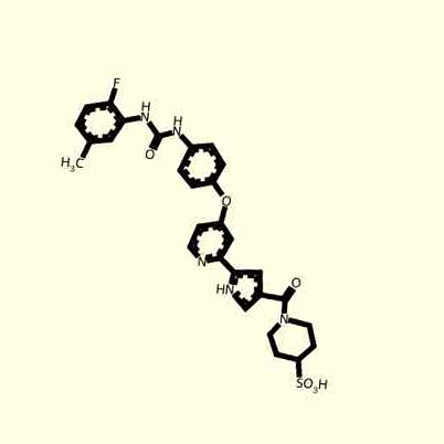 Cc1ccc(F)c(NC(=O)Nc2ccc(Oc3ccnc(-c4cc(C(=O)N5CCC(S(=O)(=O)O)CC5)c[nH]4)c3)cc2)c1